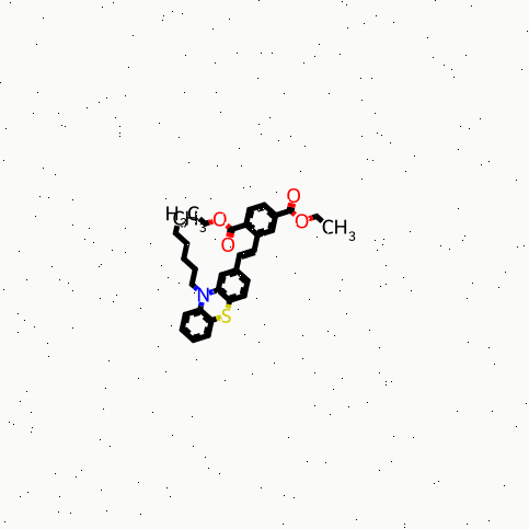 CCCCCCN1c2ccccc2Sc2ccc(C=Cc3cc(C(=O)OCC)ccc3C(=O)OCC)cc21